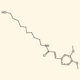 COc1ccc(/C=C/C(=O)NCCCCCCCCCCO)cc1OC